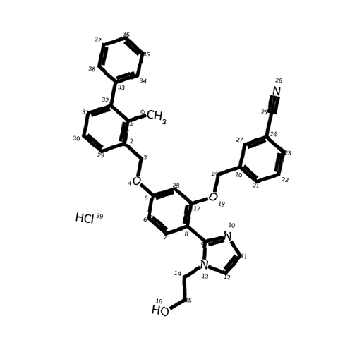 Cc1c(COc2ccc(-c3nccn3CCO)c(OCc3cccc(C#N)c3)c2)cccc1-c1ccccc1.Cl